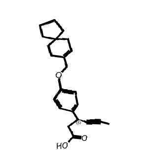 CC#C[C@@H](CC(=O)O)c1ccc(OCC2=CCC3(CCCC3)CC2)cc1